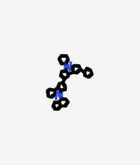 c1ccc(-c2ccc3c(c2)c2cc(-c4ccc5c(c4)c4ccccc4n5-c4cccc5ccccc45)ccc2n3-c2ccccc2)cc1